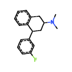 CN(C)C1Cc2ccccc2C(c2cccc(F)c2)C1